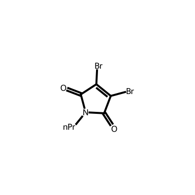 CCCN1C(=O)C(Br)=C(Br)C1=O